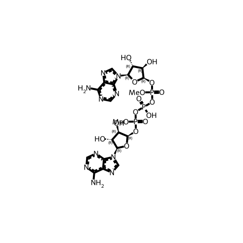 COP(=O)(O[C@H]1O[C@@H](n2cnc3c(N)ncnc32)[C@H](O)[C@H]1O)OP(=O)(O)OP(=O)(OC)O[C@H]1O[C@@H](n2cnc3c(N)ncnc32)[C@H](O)[C@H]1O